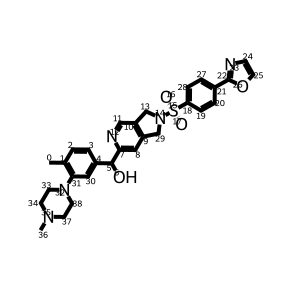 Cc1ccc(C(O)c2cc3c(cn2)CN(S(=O)(=O)c2ccc(-c4ncco4)cc2)C3)cc1N1CCN(C)CC1